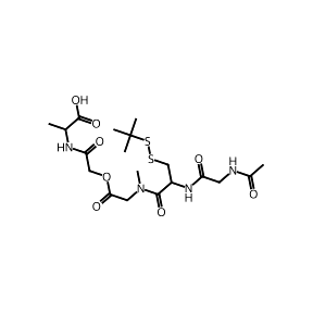 CC(=O)NCC(=O)NC(CSSC(C)(C)C)C(=O)N(C)CC(=O)OCC(=O)NC(C)C(=O)O